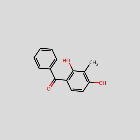 Cc1c(O)ccc(C(=O)c2ccccc2)c1O